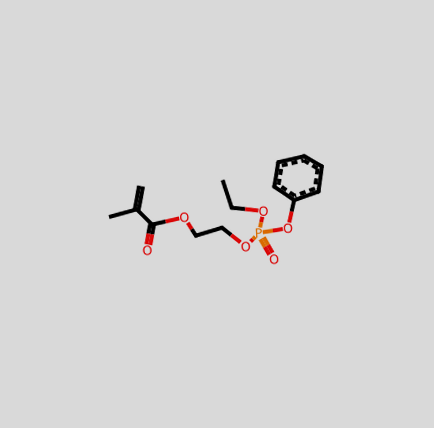 C=C(C)C(=O)OCCOP(=O)(OCC)Oc1ccccc1